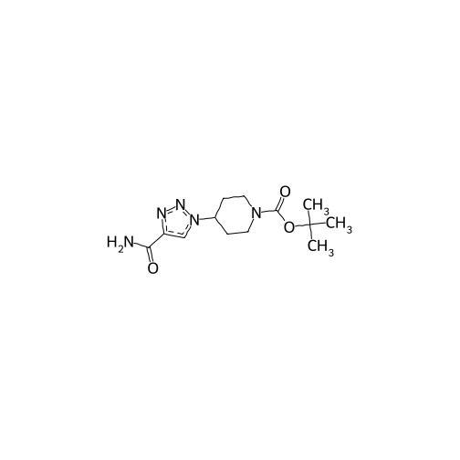 CC(C)(C)OC(=O)N1CCC(n2cc(C(N)=O)nn2)CC1